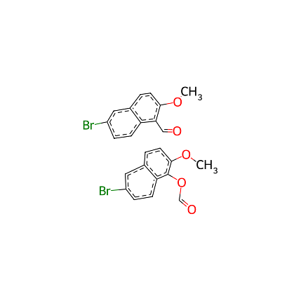 COc1ccc2cc(Br)ccc2c1C=O.COc1ccc2cc(Br)ccc2c1OC=O